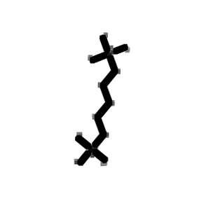 C[N+](C)(C)CCCCC[N+](C)(C)C